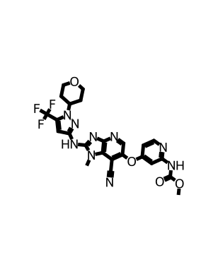 COC(=O)Nc1cc(Oc2cnc3nc(Nc4cc(C(F)(F)F)n(C5CCOCC5)n4)n(C)c3c2C#N)ccn1